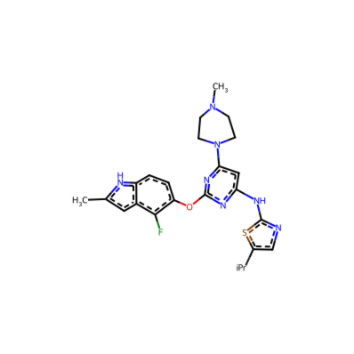 Cc1cc2c(F)c(Oc3nc(Nc4ncc(C(C)C)s4)cc(N4CCN(C)CC4)n3)ccc2[nH]1